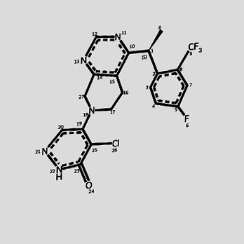 C[C@@H](c1ccc(F)cc1C(F)(F)F)c1ncnc2c1CCN(c1cn[nH]c(=O)c1Cl)C2